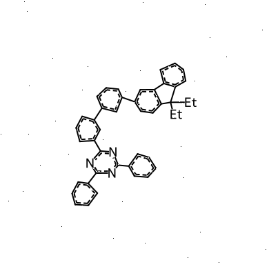 CCC1(CC)c2ccccc2-c2cc(-c3cccc(-c4cccc(-c5nc(-c6ccccc6)nc(-c6ccccc6)n5)c4)c3)ccc21